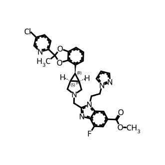 COC(=O)c1cc(F)c2nc(CN3C[C@@H]4[C@H](C3)[C@@H]4c3cccc4c3OC(C)(c3ccc(Cl)cn3)O4)n(CCn3cccn3)c2c1